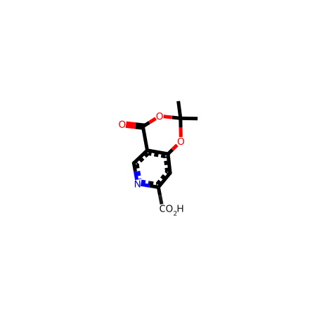 CC1(C)OC(=O)c2cnc(C(=O)O)cc2O1